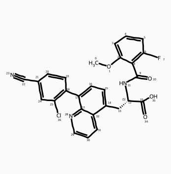 COc1cccc(F)c1C(=O)N[C@@H](Cc1ccc(-c2ccc(C#N)cc2Cl)c2ncccc12)C(=O)O